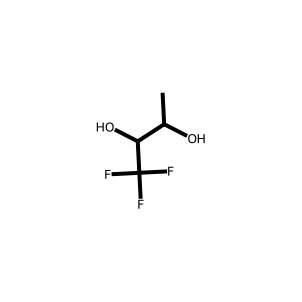 CC(O)C(O)C(F)(F)F